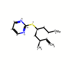 C=C[C@@H](C)C[C@H](CCOC)Sc1ncccn1